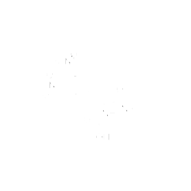 CNC(=O)C1(NC(=O)O)Cc2cc([N+](=O)[O-])c([N+](=O)[O-])cc2C1